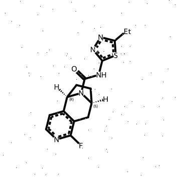 CCc1nnc(NC(=O)N2[C@H]3CC[C@@H]2c2ccnc(F)c2C3)s1